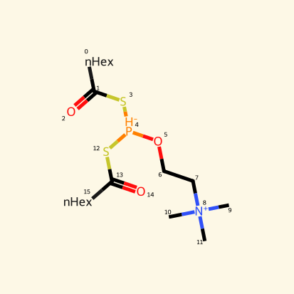 CCCCCCC(=O)S[PH-](OCC[N+](C)(C)C)SC(=O)CCCCCC